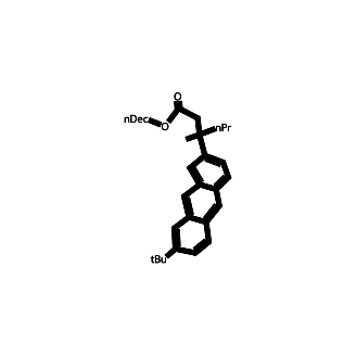 CCCCCCCCCCOC(=O)CC(C)(CCC)c1ccc2cc3ccc(C(C)(C)C)cc3cc2c1